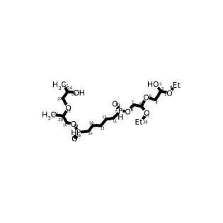 CCOC(O)COC(CO[PH](=O)CCCCC[PH](=O)OCC(C)OCC(C)O)OCC